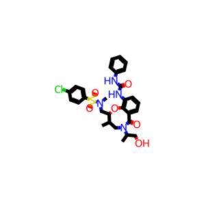 CC1CN(C(C)CO)C(=O)c2cccc(NC(=O)Nc3ccccc3)c2OC1CN(C)S(=O)(=O)c1ccc(Cl)cc1